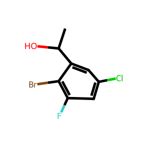 CC(O)c1cc(Cl)cc(F)c1Br